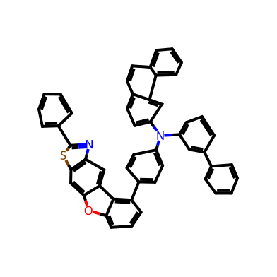 c1ccc(-c2cccc(N(c3ccc(-c4cccc5oc6cc7sc(-c8ccccc8)nc7cc6c45)cc3)c3ccc4ccc5ccccc5c4c3)c2)cc1